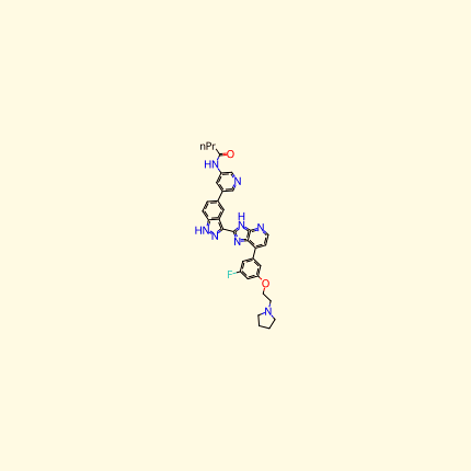 CCCC(=O)Nc1cncc(-c2ccc3[nH]nc(-c4nc5c(-c6cc(F)cc(OCCN7CCCC7)c6)ccnc5[nH]4)c3c2)c1